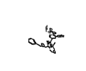 COc1cc(-c2nc(COCc3ccccc3)c3n2[C@@H](C)COCC3)ccc1OC(F)(F)F